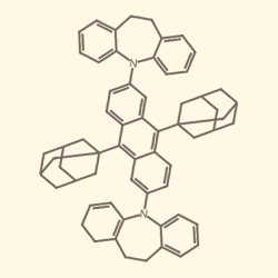 C1=CC2=C(CC1)CCc1ccccc1N2c1ccc2c(C34CC5CC(CC(C5)C3)C4)c3cc(N4c5ccccc5CCc5ccccc54)ccc3c(C34CC5CC(CC(C5)C3)C4)c2c1